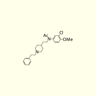 COc1ccc(N(CCC2CCN(CCc3ccccc3)CC2)C(C)=O)cc1Cl